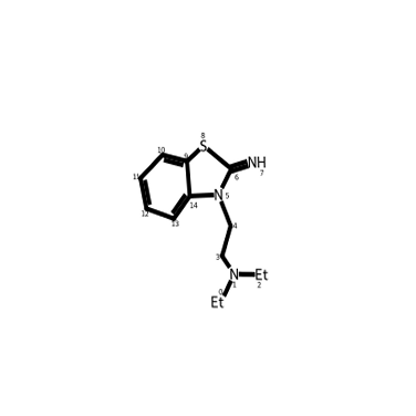 CCN(CC)CCn1c(=N)sc2ccccc21